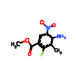 COC(=O)c1cc([N+](=O)[O-])c(N)c(C)c1F